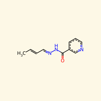 C/C=C/C=NNC(=O)c1cccnc1